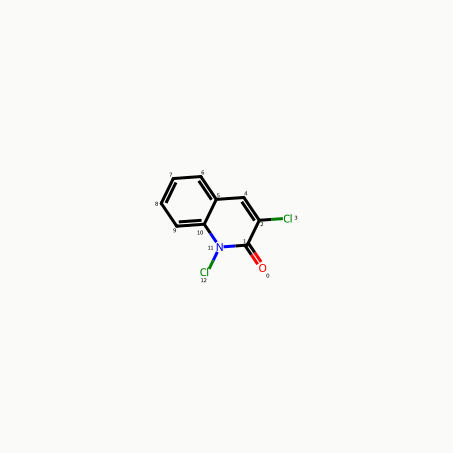 O=c1c(Cl)cc2ccccc2n1Cl